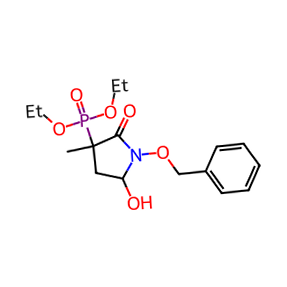 CCOP(=O)(OCC)C1(C)CC(O)N(OCc2ccccc2)C1=O